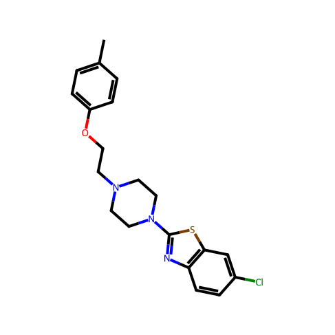 Cc1ccc(OCCN2CCN(c3nc4ccc(Cl)cc4s3)CC2)cc1